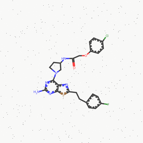 Nc1nc(N2CCC(NC(=O)COc3ccc(Cl)cc3)C2)c2nc(CCc3ccc(F)cc3)sc2n1